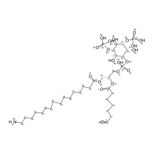 CCCCCCCCCCCCCCCC(=O)O[C@H](COC(=O)CCCCCCCCCCCCCCCN)COP(=O)(O)OC1C(O)[C@H](OP(=O)(O)O)C(O)[C@H](OP(=O)(O)O)[C@@H]1O